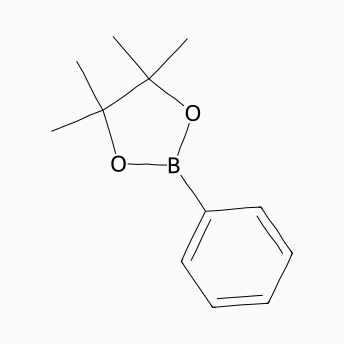 CC1(C)OB(c2ccccc2)OC1(C)C